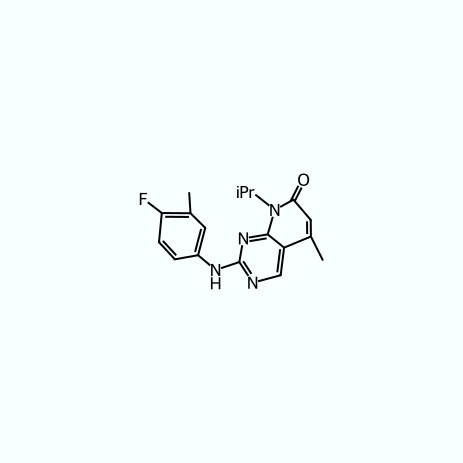 Cc1cc(Nc2ncc3c(C)cc(=O)n(C(C)C)c3n2)ccc1F